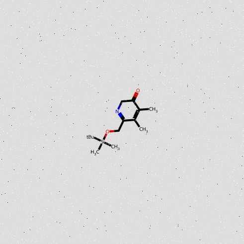 CC1=C(C)C(CO[Si](C)(C)C(C)(C)C)=NCC1=O